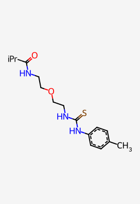 Cc1ccc(NC(=S)NCCOCCNC(=O)C(C)C)cc1